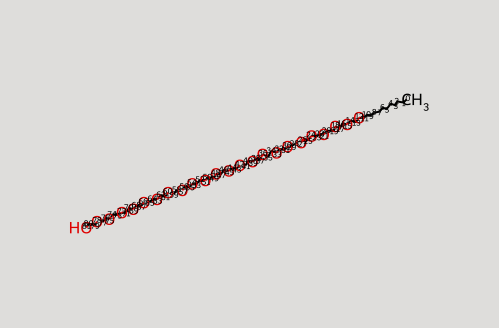 CCCCCCCCCCCCOCCOCCOCCOCCOCCOCCOCCOCCOCCOCCOCCOCCOCCOCCOCCOCCOCCOCCOCCOCCOCCOCCOCCO